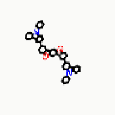 c1ccc(-n2c3ccccc3c3cc(-c4ccc5oc6cc7c(cc6c5c4)oc4ccc(-c5ccc6c(c5)c5ccccc5n6-c5ccccc5)cc47)ccc32)cc1